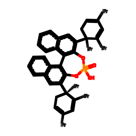 CC(C)C1=CCC(c2cc3ccccc3c3c2OP(=O)(O)Oc2c([C@]4(C(C)C)CC=C(C(C)C)C=C4C(C)C)cc4ccccc4c2-3)(C(C)C)C(C(C)C)=C1